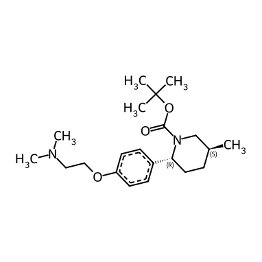 C[C@H]1CC[C@H](c2ccc(OCCN(C)C)cc2)N(C(=O)OC(C)(C)C)C1